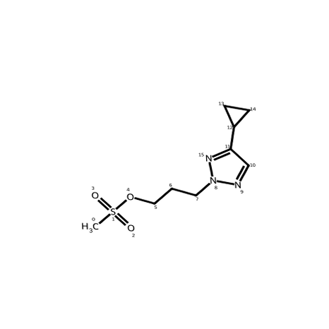 CS(=O)(=O)OCCCn1ncc(C2CC2)n1